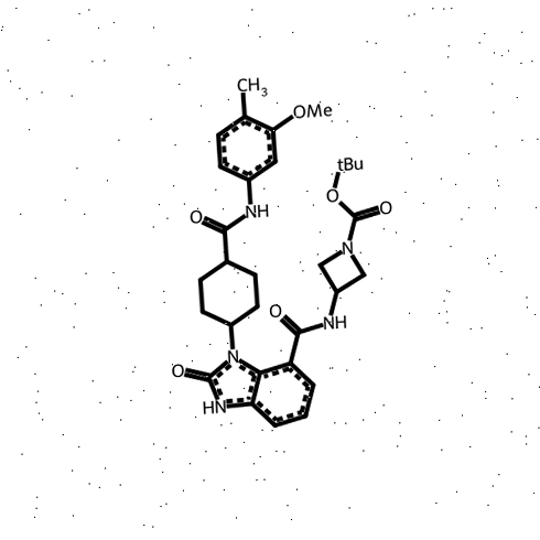 COc1cc(NC(=O)C2CCC(n3c(=O)[nH]c4cccc(C(=O)NC5CN(C(=O)OC(C)(C)C)C5)c43)CC2)ccc1C